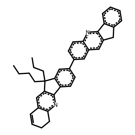 CCCCC1(CCC)c2cc(-c3ccc4nc5c(cc4c3)Cc3ccccc3-5)ccc2-c2nc3c(cc21)C=CCC3